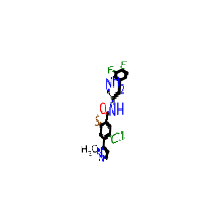 Cn1nccc1C1=C(Cl)C=C(C(=O)N[C@H](CN)Cc2ccc(F)c(F)c2)C(=S)C1